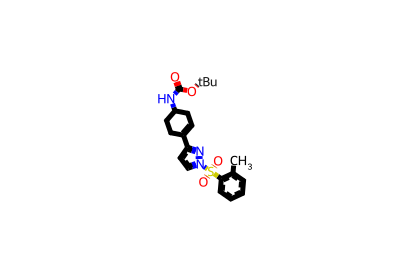 Cc1ccccc1S(=O)(=O)n1ccc(C2=CCC(NC(=O)OC(C)(C)C)CC2)n1